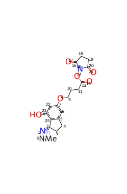 CN/N=C1\CCc2cc(OCCCC(=O)ON3C(=O)CCC3=O)cc(O)c21